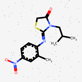 Cc1cc([N+](=O)[O-])ccc1/N=C1\SCC(=O)N1CC(C)C